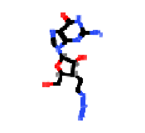 [N-]=[N+]=NCC[C@H]1[C@@H](O)[C@H](n2cnc3c(=O)[nH]c(N)nc32)O[C@@H]1CO